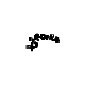 O=C(Cc1ccsc1)NCc1ccc(-c2nc(C(=O)N3CCC[C@H](F)[C@@H](O)C3)co2)cc1